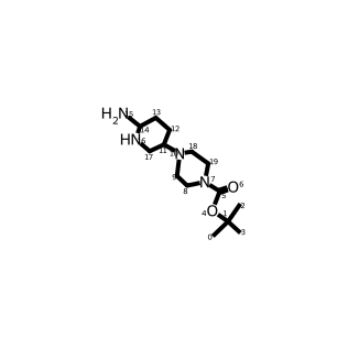 CC(C)(C)OC(=O)N1CCN(C2CCC(N)NC2)CC1